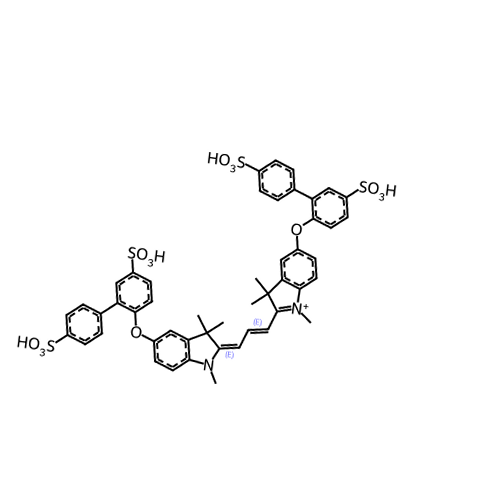 CN1/C(=C/C=C/C2=[N+](C)c3ccc(Oc4ccc(S(=O)(=O)O)cc4-c4ccc(S(=O)(=O)O)cc4)cc3C2(C)C)C(C)(C)c2cc(Oc3ccc(S(=O)(=O)O)cc3-c3ccc(S(=O)(=O)O)cc3)ccc21